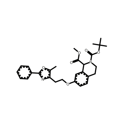 COC(=O)C1c2cc(OCCc3nc(-c4ccccc4)oc3C)ccc2CCN1C(=O)OC(C)(C)C